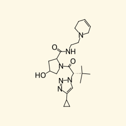 CC(C)(C)[C@@H](C(=O)N1CC(O)CC1C(=O)NCCN1CC=CCC1)n1cc(C2CC2)nn1